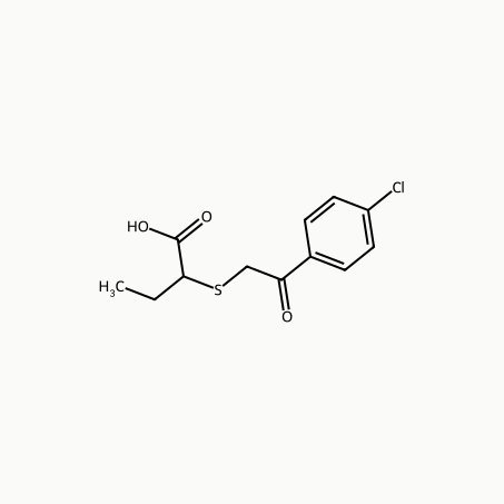 CCC(SCC(=O)c1ccc(Cl)cc1)C(=O)O